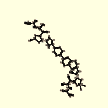 COC(=O)N[C@H](C(=O)N1CC(F)C[C@H]1c1ncc(-c2ccc(-c3ccc4c(ccc5nc([C@@H]6C[Si](C)(C)CN6C(=O)[C@@H](NC(=O)OC)C(C)C)[nH]c54)c3)cc2)[nH]1)C(C)C